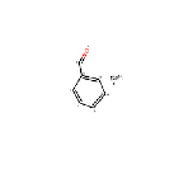 O=Cc1c[c]ccc1.[NaH]